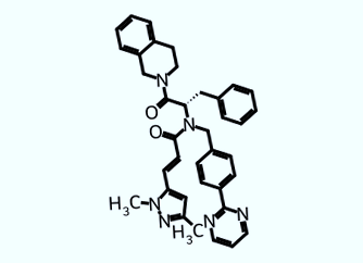 Cc1cc(/C=C/C(=O)N(Cc2ccc(-c3ncccn3)cc2)[C@@H](Cc2ccccc2)C(=O)N2CCc3ccccc3C2)n(C)n1